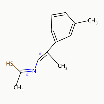 C/C(S)=N/C=C(\C)c1cccc(C)c1